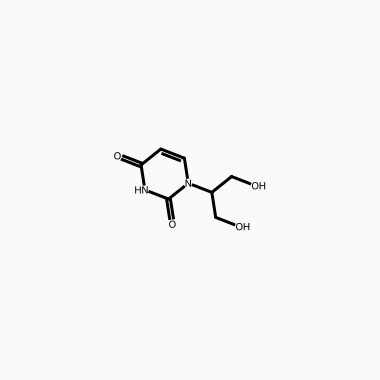 O=c1ccn(C(CO)CO)c(=O)[nH]1